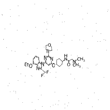 CCOc1cccc2c1nc(C(F)F)n2-c1cc(O[C@H]2CC[C@H](NC(=O)CN(C)C)CC2)nc(N2CCOCC2)n1